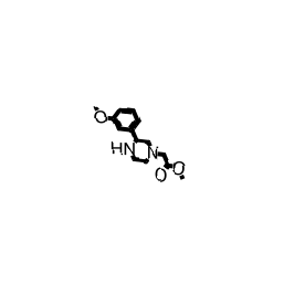 COC(=O)CN1CCNC(c2cccc(OC)c2)C1